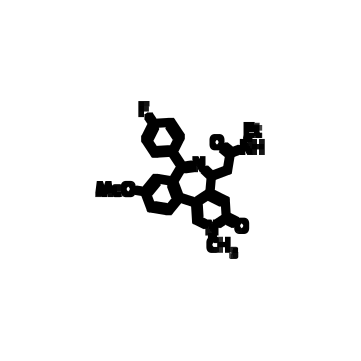 CCNC(=O)CC1N=C(c2ccc(F)cc2)c2cc(OC)ccc2-c2cn(C)c(=O)cc21